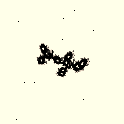 c1ccc(-c2cc(-c3ccc(-c4cc5c(-c6ccc7ccccc7c6)cc(-c6ccc7ccccc7c6)nc5c5ccccc45)cc3)nc3ccccc23)cc1